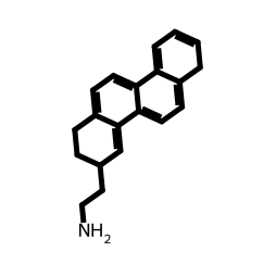 NCCC1C=c2c(ccc3c4c(ccc23)CC=CC=4)CC1